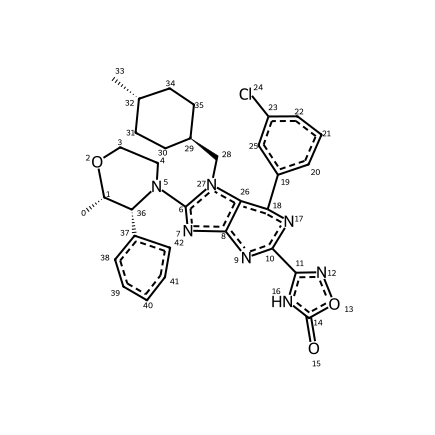 C[C@@H]1OCCN(c2nc3nc(-c4noc(=O)[nH]4)nc(-c4cccc(Cl)c4)c3n2C[C@H]2CC[C@H](C)CC2)[C@@H]1c1ccccc1